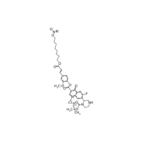 COc1cc(C=CC(=O)OCCCCCCCCO[N+](=O)[O-])ccc1OC(=O)c1cn(C2CC2)c2cc(C3CNCCN3C(=O)OC(C)(C)C)c(F)cc2c1=O